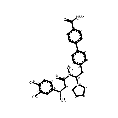 CNC(=O)c1ccc(-c2ccc(CC(N3CCCC3)N(C)C(=O)CN(C)c3ccc(Cl)c(Cl)c3)cc2)cc1